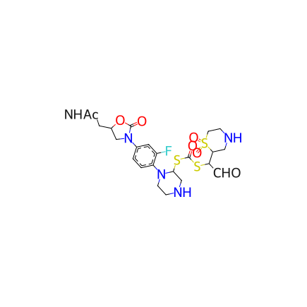 CC(=O)NCC1CN(c2ccc(N3CCNCC3SC(=O)SC(C=O)C3CNCCS3(=O)=O)c(F)c2)C(=O)O1